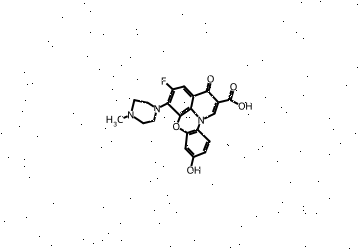 CN1CCN(c2c(F)cc3c(=O)c(C(=O)O)cn4c3c2Oc2cc(O)ccc2-4)CC1